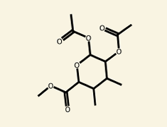 COC(=O)C1OC(OC(C)=O)C(OC(C)=O)C(C)C1C